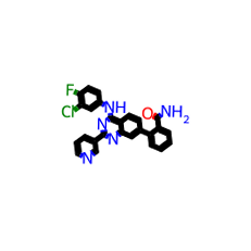 NC(=O)c1ccccc1-c1ccc2c(Nc3ccc(F)c(Cl)c3)nc(-c3cccnc3)nc2c1